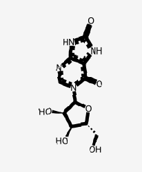 O=c1[nH]c2ncn(C3O[C@H](CO)[C@@H](O)[C@H]3O)c(=O)c2[nH]1